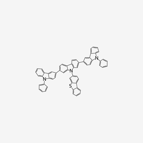 c1ccc(-n2c3ccccc3c3cc(-c4ccc5c6ccc(-c7ccc8c(c7)c7ccccc7n8-c7ccccc7)cc6n(-c6ccc7c(c6)sc6ccccc67)c5c4)ccc32)cc1